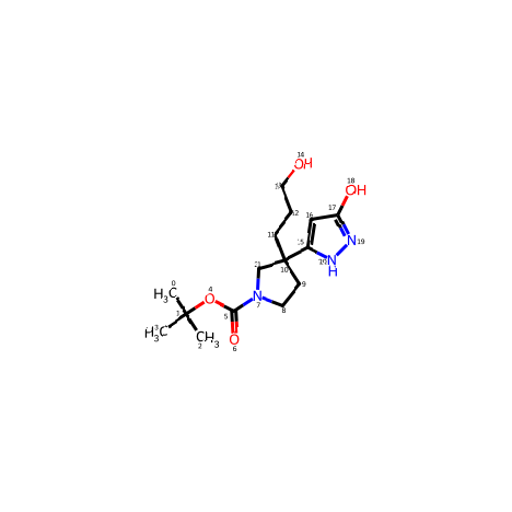 CC(C)(C)OC(=O)N1CCC(CCCO)(c2cc(O)n[nH]2)C1